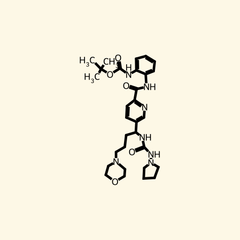 CC(C)(C)OC(=O)Nc1ccccc1NC(=O)c1ccc(C(CCCN2CCOCC2)NC(=O)NN2CCCC2)cn1